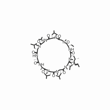 C/C=C/C[C@@H](C)C[C@H]1C(=O)N[C@@H](CC)C(=O)N(C)CC(=O)N(C)[C@@H](CC(C)C)C(=O)N[C@@H](C(C)C)C(=O)N(C)[C@@H](CC(C)C)C(=O)N[C@@H](C)C(=O)N[C@H](C)C(=O)N(C)[C@@H](CC(C)C)C(=O)N(C)[C@@H](CC(C)C)C(=O)N(C)[C@@H](C(C)C)C(=O)N1C